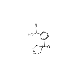 C#CC(O)c1cccc(C(=O)N2CCOCC2)c1